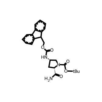 CC(C)(C)OC(=O)N1C[C@@H](NC(=O)OCC2c3ccccc3-c3ccccc32)C[C@H]1C(N)=O